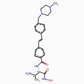 C[C@@H](N)[C@H](NC(=O)c1ccc(C=Cc2ccc(CN3CCN(C)CC3)cc2)cc1)C(=O)NO